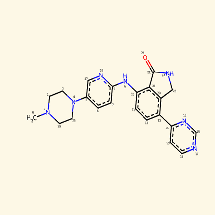 CN1CCN(c2ccc(Nc3ccc(-c4ccncn4)c4c3C(=O)NC4)nc2)CC1